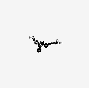 Cc1nn2c(N3CCN(CCO)CC3)cc(-c3ccccc3)nc2c1-c1cccc(CCCCCCC(=O)O)c1